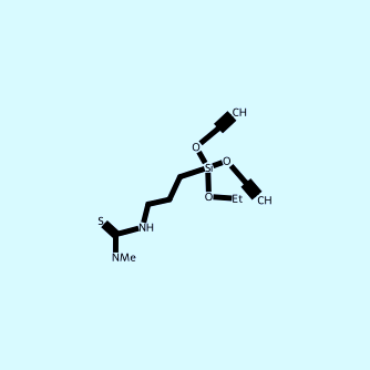 C#CO[Si](CCCNC(=S)NC)(OC#C)OCC